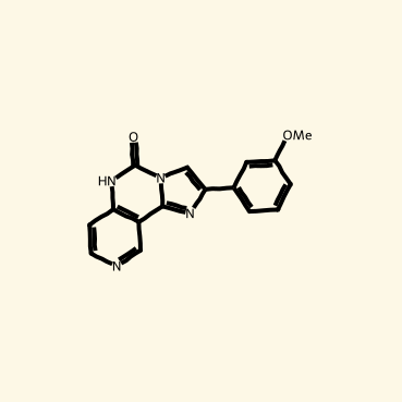 COc1cccc(-c2cn3c(=O)[nH]c4ccncc4c3n2)c1